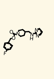 O=C(OCc1ccc(F)cc1)N1CCC(CNc2ncccn2)CC1